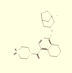 O=C(c1cnc(N[C@@H]2C[C@@H]3CC[C@@H](C3)C2)c2c1CCCC2)N1CCS(=O)(=O)CC1